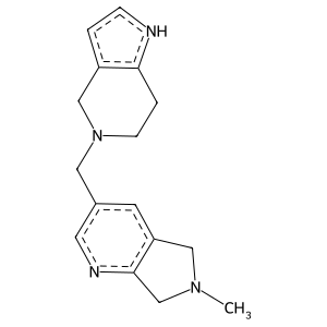 CN1Cc2cc(CN3CCc4[nH]ccc4C3)cnc2C1